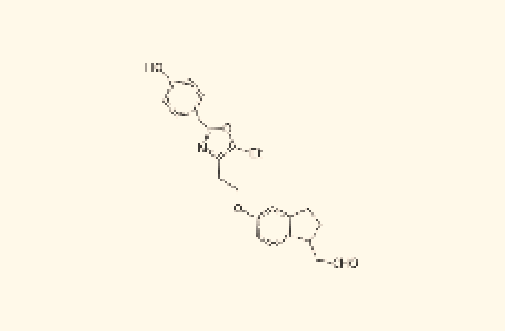 CCc1oc(-c2ccc(O)cc2)nc1CCOc1ccc2c(c1)CCC2CC=O